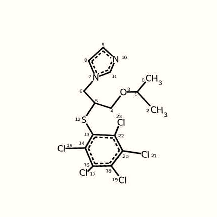 CC(C)OCC(Cn1ccnc1)Sc1c(Cl)c(Cl)c(Cl)c(Cl)c1Cl